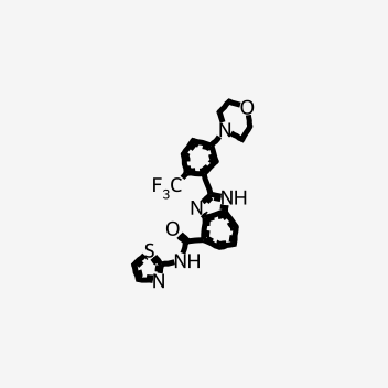 O=C(Nc1nccs1)c1cccc2[nH]c(-c3cc(N4CCOCC4)ccc3C(F)(F)F)nc12